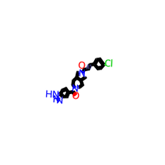 O=C(/C=C/c1ccc(Cl)cc1)N1CC2CCN(C(=O)c3ccc4[nH]nnc4c3)CCC2C1